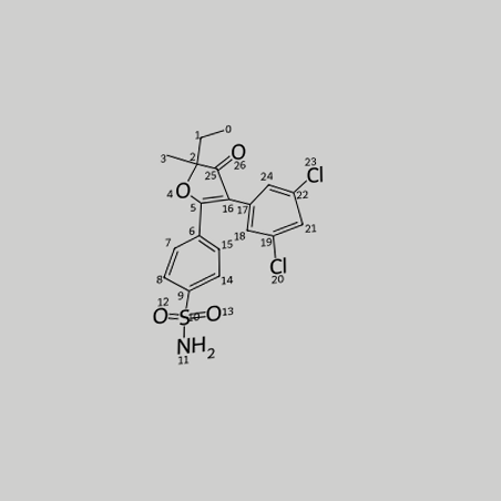 CCC1(C)OC(c2ccc(S(N)(=O)=O)cc2)=C(c2cc(Cl)cc(Cl)c2)C1=O